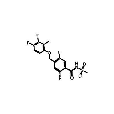 Cc1c(OCc2cc(F)c(C(=O)NS(C)(=O)=O)cc2F)ccc(F)c1F